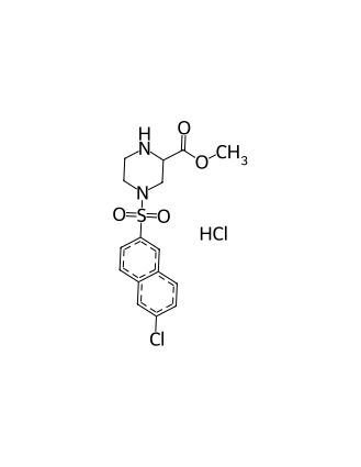 COC(=O)C1CN(S(=O)(=O)c2ccc3cc(Cl)ccc3c2)CCN1.Cl